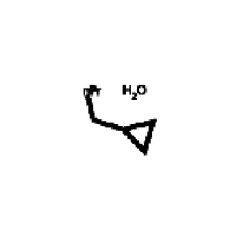 CCCCC1CC1.O